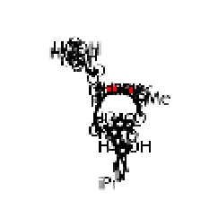 CO[C@H]1[C@@H](C)[C@H](OC(C)=O)[C@H](C)[C@@H](OC)/C=C/O[C@@]2(C)Oc3c(C)c(O)c4c(=O)c(c5oc6cc(N7CCN(CC(C)C)CC7)cc(O)c6nc-5c4c3C2=O)NC(=O)/C(C)=C\C=C\[C@H](C)[C@H](OC(=O)COC(=O)CCC(=O)NC(P(=O)(O)O)P(=O)(O)O)[C@H]1C